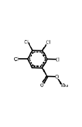 CCC(C)OC(=O)c1cc(Cl)c(Cl)c(Cl)c1Cl